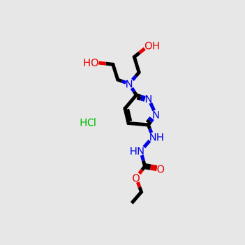 CCOC(=O)NNc1ccc(N(CCO)CCO)nn1.Cl